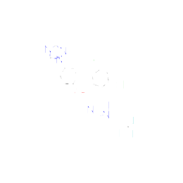 FC(F)(F)CCN[C@H]1CCCCN1[C@H]1Cc2c(Cl)cc(Cl)cc2[C@@H]1Oc1ccc(-n2cncn2)cc1